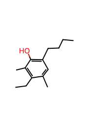 CCCCc1cc(C)c(CC)c(C)c1O